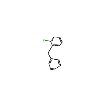 Fc1ccccc1[CH]c1ccccc1